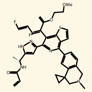 C=CC(=O)N[C@H](C)c1cc(-c2nc(-c3ccc4c(c3)C3(CC3)CN(C)C4)c3ccsc3c2/C(C(=C)OCCOC)=C(F)/C=C/F)n[nH]1